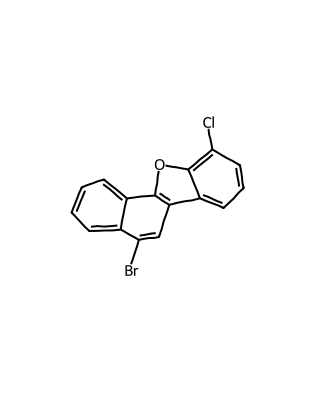 Clc1cccc2c1oc1c3ccccc3c(Br)cc21